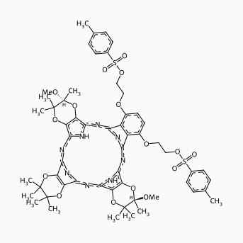 CO[C@]1(C)Oc2c(c3nc4nc(nc5[nH]c(nc6nc(nc2[nH]3)-c2c(OCCOS(=O)(=O)c3ccc(C)cc3)ccc(OCCOS(=O)(=O)c3ccc(C)cc3)c2-6)c2c5OC(C)(C)[C@](C)(OC)O2)C2=C4OC(C)(C)C(C)(C)O2)OC1(C)C